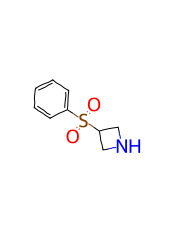 O=S(=O)(c1ccccc1)C1CNC1